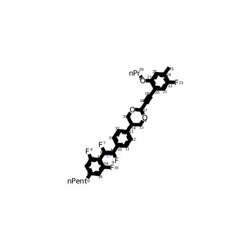 CCCCCc1cc(F)c(/C(F)=C(\F)c2ccc(C3COC(C#Cc4cc(F)c(C)cc4OCCC)OC3)cc2)c(F)c1